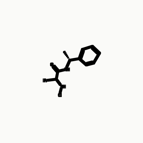 CC(C)C(NCl)C(=O)N[C@H](C)c1ccccc1